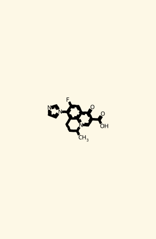 CC1CCc2c(-n3ccnc3)c(F)cc3c(=O)c(C(=O)O)cn1c23